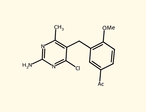 COc1ccc(C(C)=O)cc1Cc1c(C)nc(N)nc1Cl